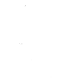 CCCCCCCCCCCCO.OCCOCCO.[NaH]